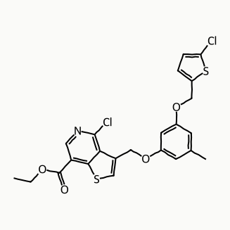 CCOC(=O)c1cnc(Cl)c2c(COc3cc(C)cc(OCc4ccc(Cl)s4)c3)csc12